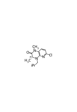 CC(C)CN1c2nc(Cl)ccc2N(C)C(=O)[C@H]1C